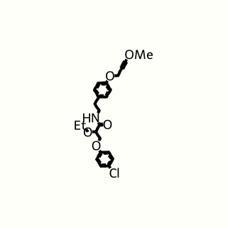 CCOC(COc1ccc(Cl)cc1)C(=O)NCCc1ccc(OCC#COC)cc1